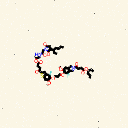 CCCCC(CC)C1CC(=O)N(CC(=O)NC[C@H](C)OC(=O)CCC(=O)c2cc3c(F)c(OCCCOc4c(OC)cc5c(c4F)CN(C(=O)CCC(=O)OC(CC)CCC)C5)c(OC)cc3s2)C1=O